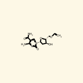 C=COC[C@H]1O[C@@H](n2cc(C(N)=O)c(N)nc2=O)C[C@@H]1O